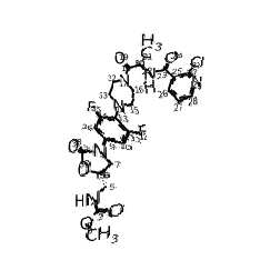 COC(=O)NC[C@H]1CN(c2cc(F)c(N3CCN(C(=O)[C@H](C)NC(=O)c4cccnc4Cl)CC3)c(F)c2)C(=O)O1